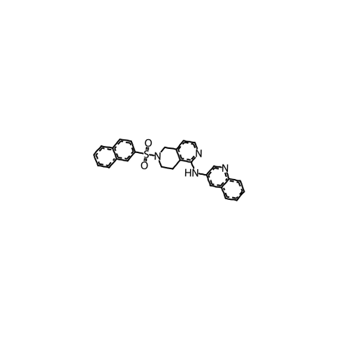 O=S(=O)(c1ccc2ccccc2c1)N1CCc2c(ccnc2Nc2cnc3ccccc3c2)C1